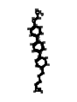 CCCCCC1CC=C(c2ccc(-c3ccc(OCC)cc3)cc2)CC1